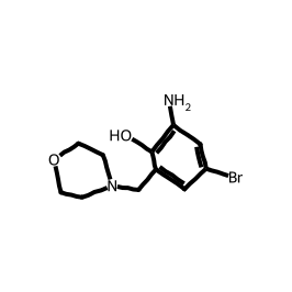 Nc1cc(Br)cc(CN2CCOCC2)c1O